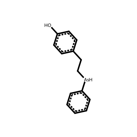 Oc1ccc(CC[AsH]c2ccccc2)cc1